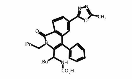 Cc1nnc(-c2ccc3c(=O)n(CC(C)C)c(C(NC(=O)O)C(C)(C)C)c(-c4ccccc4)c3c2)o1